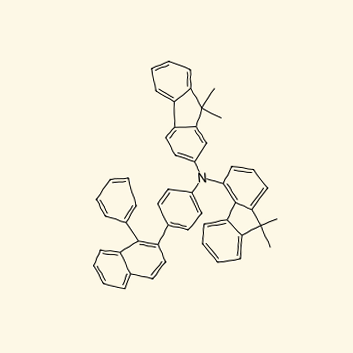 CC1(C)c2ccccc2-c2ccc(N(c3ccc(-c4ccc5ccccc5c4-c4ccccc4)cc3)c3cccc4c3-c3ccccc3C4(C)C)cc21